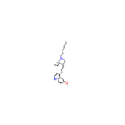 C=C[C@H]1CN(CCCCCCC)CC[C@H]1CCCc1ccnc2ccc(OC)cc12